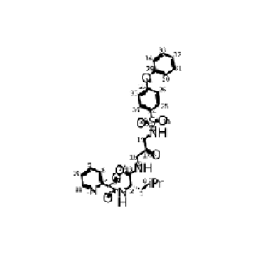 CC(C)C[C@H](NS(=O)(=O)c1ccccn1)C(=O)NCC(=O)CNS(=O)(=O)c1ccc(Oc2ccccc2)cc1